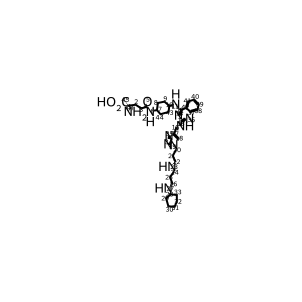 N[C@@H](CCC(=O)NC1CCC(Nc2nc(NCc3cn(CCCNCCCNC4CCCCC4)nn3)nc3ccccc23)CC1)C(=O)O